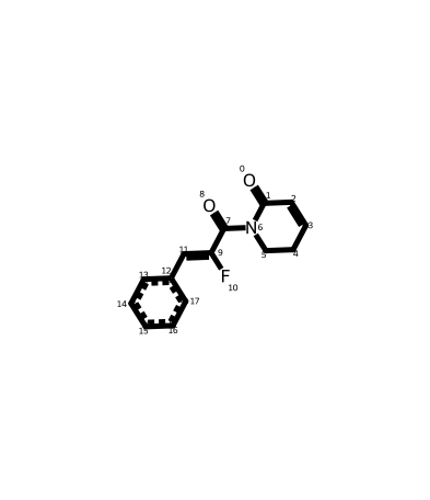 O=C1C=CCCN1C(=O)C(F)=Cc1ccccc1